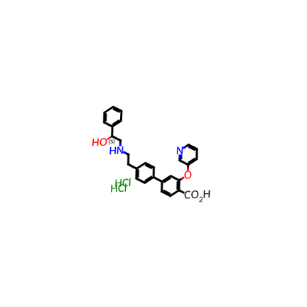 Cl.Cl.O=C(O)c1ccc(-c2ccc(CCNC[C@@H](O)c3ccccc3)cc2)cc1Oc1cccnc1